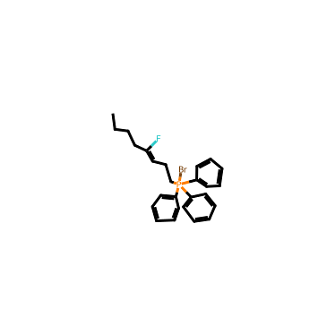 CCCCC(F)=CCCP(Br)(c1ccccc1)(c1ccccc1)c1ccccc1